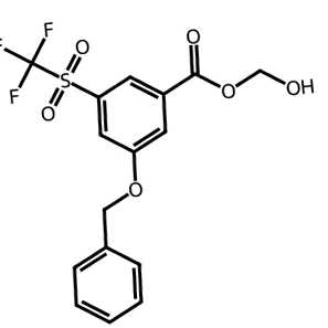 O=C(OCO)c1cc(OCc2ccccc2)cc(S(=O)(=O)C(F)(F)F)c1